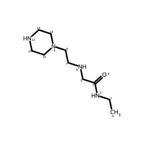 CCNC(=O)CNCCN1CCNCC1